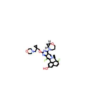 C#Cc1c(F)ccc2cc(O)cc(-c3ncc4c(N5CCCO[C@H]6C[C@H]65)nc(OCC5(CN6CCOCC6)CC5)nc4c3F)c12